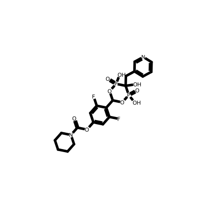 O=C(Oc1cc(F)c(C2OP(=O)(O)C(O)(Cc3cccnc3)P(=O)(O)O2)c(F)c1)N1CCCCC1